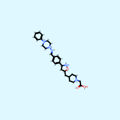 O=C(O)CN1CCC(CC2CC(c3ccc(C=NN4CCN(c5ccccc5)CC4)cc3)NO2)CC1